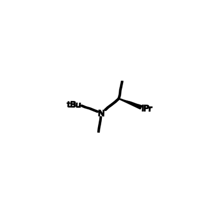 CC(C)[C@H](C)N(C)C(C)(C)C